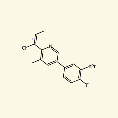 C/C=C(/Cl)c1ncc(-c2ccc(F)c(CCC)c2)cc1C